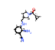 N#Cc1cccc(NCC2CCN(C(=O)C3CC3)C2)c1N